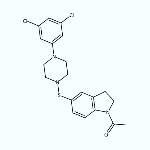 CC(=O)N1CCc2cc(SN3CCN(c4cc(Cl)cc(Cl)c4)CC3)ccc21